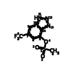 CS(=O)(=O)Oc1cc(C(F)(F)F)cc2[nH]nnc12